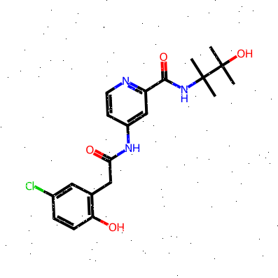 CC(C)(O)C(C)(C)NC(=O)c1cc(NC(=O)Cc2cc(Cl)ccc2O)ccn1